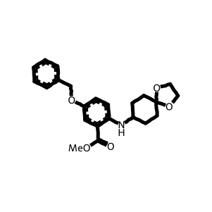 COC(=O)c1cc(OCc2ccccc2)ccc1NC1CCC2(CC1)OCCO2